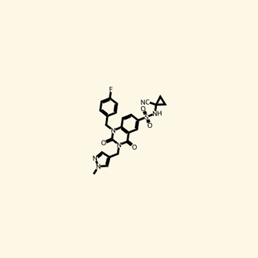 Cn1cc(Cn2c(=O)c3cc(S(=O)(=O)NC4(C#N)CC4)ccc3n(Cc3ccc(F)cc3)c2=O)cn1